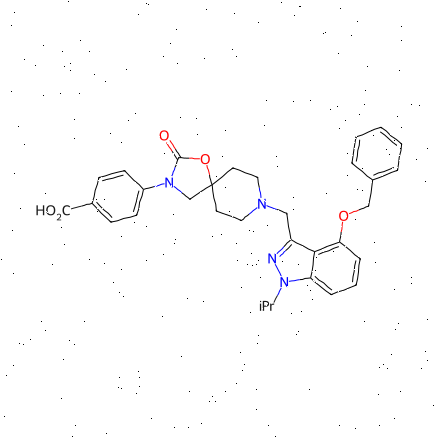 CC(C)n1nc(CN2CCC3(CC2)CN(c2ccc(C(=O)O)cc2)C(=O)O3)c2c(OCc3ccccc3)cccc21